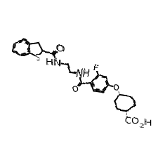 O=C(NCCNC(=O)C1Cc2ccccc2S1)c1ccc(O[C@H]2CC[C@@H](C(=O)O)CC2)cc1F